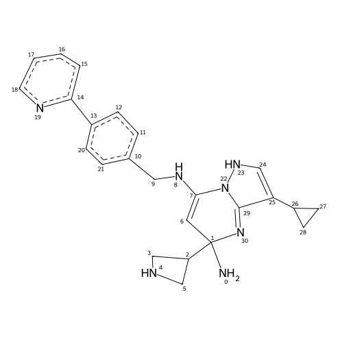 NC1(C2CNC2)C=C(NCc2ccc(-c3ccccn3)cc2)N2NC=C(C3CC3)C2=N1